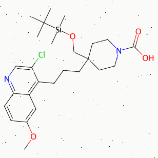 COc1ccc2ncc(Cl)c(CCCC3(CO[Si](C)(C)C(C)(C)C)CCN(C(=O)O)CC3)c2c1